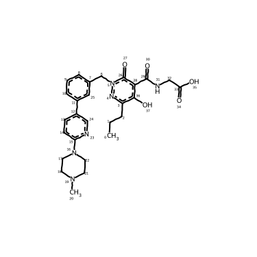 CCCc1nn(Cc2cccc(-c3ccc(N4CCN(C)CC4)nc3)c2)c(=O)c(C(=O)NCC(=O)O)c1O